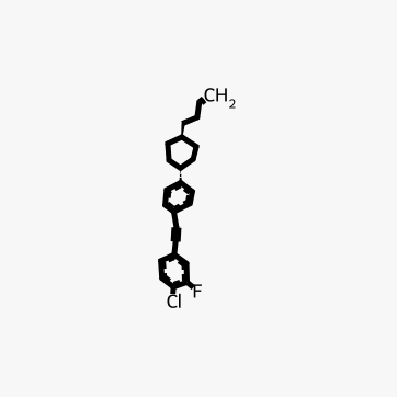 C=CCC[C@H]1CC[C@H](c2ccc(C#Cc3ccc(Cl)c(F)c3)cc2)CC1